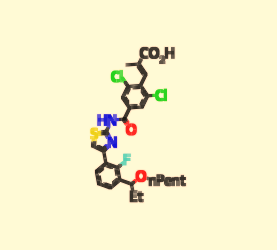 CCCCCOC(CC)c1cccc(-c2csc(NC(=O)c3cc(Cl)c(/C=C(\C)C(=O)O)c(Cl)c3)n2)c1F